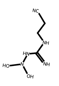 N#CCCNC(=N)NN(O)O